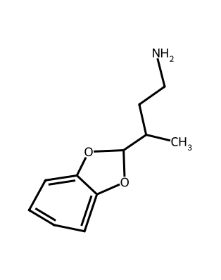 CC(CCN)C1Oc2ccccc2O1